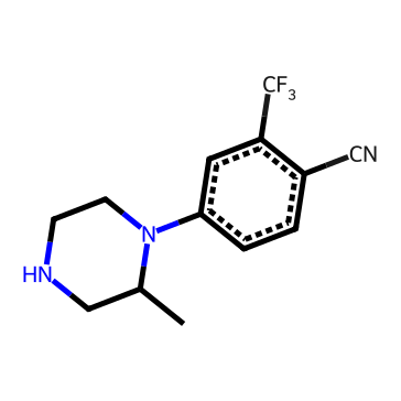 CC1CNCCN1c1ccc(C#N)c(C(F)(F)F)c1